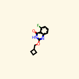 O=c1[nH]c(OCC2CCC2)nc2cccc(F)c12